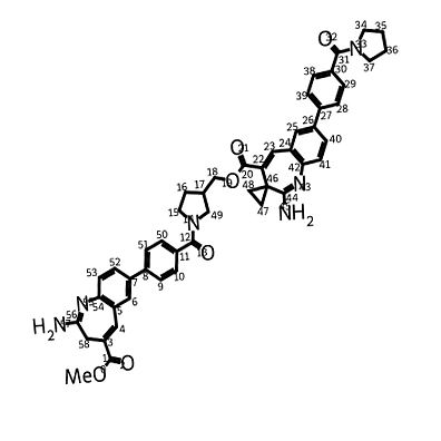 COC(=O)C1=Cc2cc(-c3ccc(C(=O)N4CCC(COC(=O)C5=Cc6cc(-c7ccc(C(=O)N8CCCC8)cc7)ccc6N=C(N)C56CC6)C4)cc3)ccc2N=C(N)C1